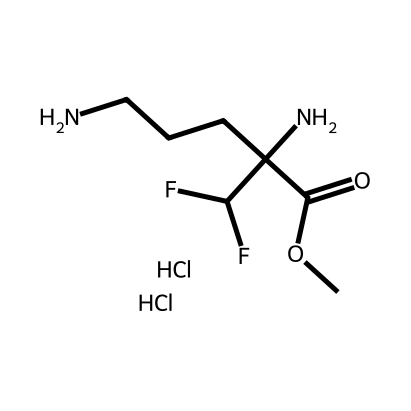 COC(=O)C(N)(CCCN)C(F)F.Cl.Cl